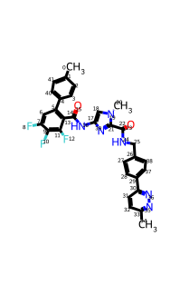 Cc1ccc(-c2cc(F)c(F)c(F)c2C(=O)Nc2cn(C)c(C(=O)NCc3ccc(-c4ccc(C)nn4)cc3)n2)cc1